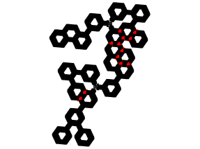 c1ccc(-c2ccccc2-c2cccc(N(c3ccc(-c4ccc(-c5ccccc5)c(-c5ccccc5)c4)cc3)c3cccc(-c4cccc5c4ccc4ccc(-c6ccc(-c7ccccc7-c7cccc(N(c8cccc(-c9cccc%10c9ccc9ccccc9%10)c8)c8ccc(-c9ccccc9)c(-c9ccccc9)c8)c7)cc6)cc45)c3)c2)cc1